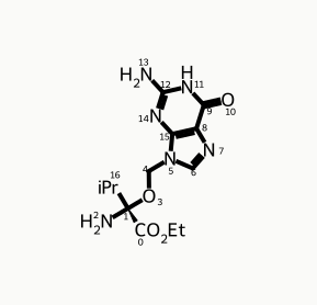 CCOC(=O)[C@](N)(OCn1cnc2c(=O)[nH]c(N)nc21)C(C)C